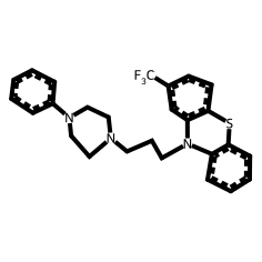 FC(F)(F)c1ccc2c(c1)N(CCCN1CCN(c3ccccc3)CC1)c1ccccc1S2